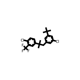 CC(C)(C)c1cc(Cl)cc(CC(C)(C)c2ccc(Cl)c(C(F)(F)F)c2)c1